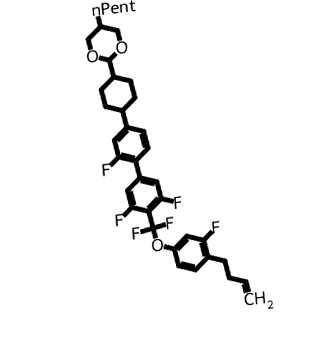 C=CCCc1ccc(OC(F)(F)c2c(F)cc(-c3ccc(C4CCC(C5OCC(CCCCC)CO5)CC4)cc3F)cc2F)cc1F